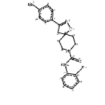 CC(C)(C)c1ccc(C2=NOC3(CCN(C(=O)Nc4ccccc4F)CC3)C2)cc1